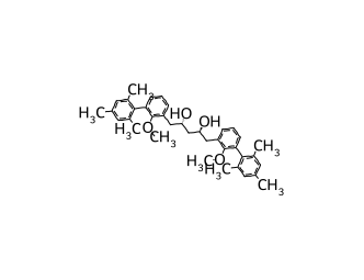 COc1c(C[C@H](O)C[C@@H](O)Cc2cccc(-c3c(C)cc(C)cc3C)c2OC)cccc1-c1c(C)cc(C)cc1C